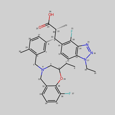 CCC1CN(Cc2cc([C@@H](c3ccc4c(nnn4CC)c3F)[C@@H](C)C(=O)O)ccc2C)Cc2cccc(F)c2O1